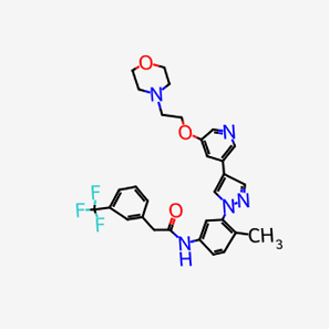 Cc1ccc(NC(=O)Cc2cccc(C(F)(F)F)c2)cc1-n1cc(-c2cncc(OCCN3CCOCC3)c2)cn1